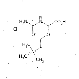 C[N+](C)(C)CCOC(NC(N)=O)C(=O)O.[Cl-]